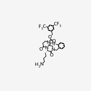 NCCCC[C@H]1C(=O)N(Cc2ccccc2F)C[C@@H]2N(C(=O)OCc3cc(C(F)(F)F)cc(C(F)(F)F)c3)CCC(=O)N21